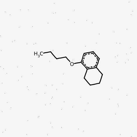 CCCCOc1cccc2c1CCCC2